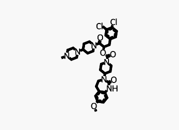 COc1ccc2c(c1)CCN(C1CCN(C(=O)OC(Cc3ccc(Cl)c(Cl)c3)C(=O)N3CCC(N4CCN(C)CC4)CC3)CC1)C(=O)N2